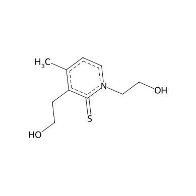 Cc1ccn(CCO)c(=S)c1CCO